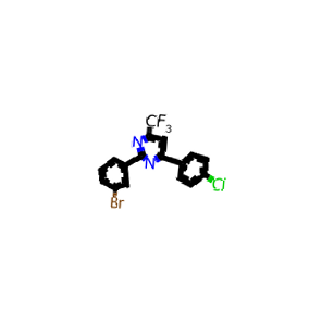 FC(F)(F)c1cc(-c2ccc(Cl)cc2)nc(-c2cccc(Br)c2)n1